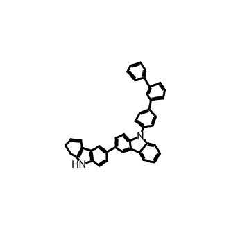 C1=Cc2c([nH]c3ccc(-c4ccc5c(c4)c4ccccc4n5-c4ccc(-c5cccc(-c6ccccc6)c5)cc4)cc23)CC1